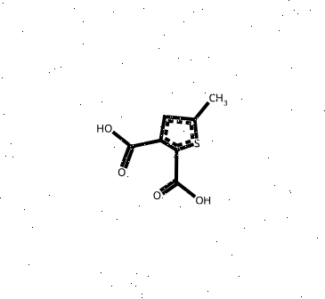 Cc1cc(C(=O)O)c(C(=O)O)s1